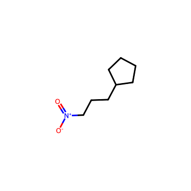 O=[N+]([O-])CCCC1CCCC1